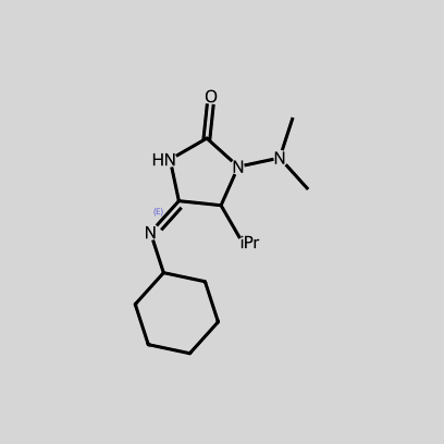 CC(C)C1/C(=N\C2CCCCC2)NC(=O)N1N(C)C